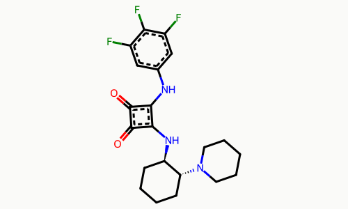 O=c1c(Nc2cc(F)c(F)c(F)c2)c(N[C@@H]2CCCC[C@H]2N2CCCCC2)c1=O